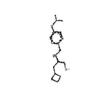 CC(C)Oc1cnc(CNC(CO)CC2CCC2)nc1